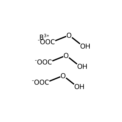 O=C([O-])OO.O=C([O-])OO.O=C([O-])OO.[B+3]